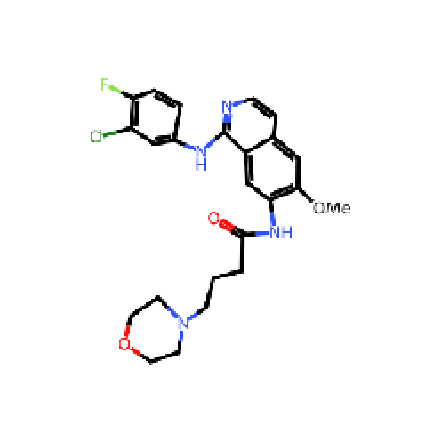 COc1cc2ccnc(Nc3ccc(F)c(Cl)c3)c2cc1NC(=O)CCCN1CCOCC1